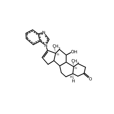 C[C@]12CC(O)C3C(CC[C@@H]4CC(=O)CC[C@]34C)C1CC=C2n1cnc2ccccc21